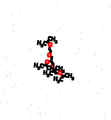 CC(C)OCCOCC(COC(C)(C)COC(C)C)OC(C)C